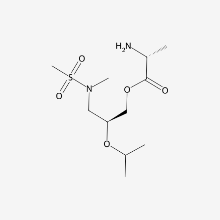 CC(C)O[C@H](COC(=O)[C@@H](C)N)CN(C)S(C)(=O)=O